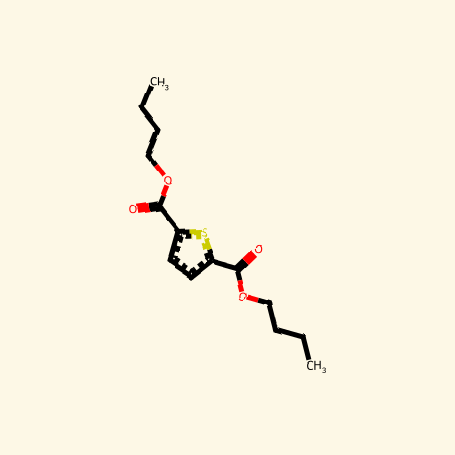 CCCCOC(=O)c1ccc(C(=O)OCCCC)s1